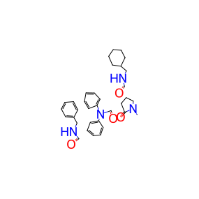 CN1CCCC1=O.O=CN(c1ccccc1)c1ccccc1.O=CNCC1CCCCC1.O=CNCc1ccccc1